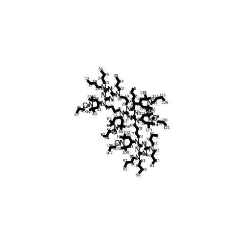 CCCCC(c1nc(N(CCCCN(c2nc(N(CCCC)CCCC)nc(N(CCCC)CCCC)n2)C2CC(C)(C)N(OCCC)C(C)(C)C2)C2CC(C)(C)N(OCCC)C(C)(C)C2)nc(N(CCCCN(c2nc(N(CCCC)CCCC)nc(N(CCCC)CCCC)n2)C2CC(C)(C)N(OCCC)C(C)(C)C2)C2CC(C)(C)N(OCCC)C(C)(C)C2)n1)C1CC(C)(C)N(CCCC)C(C)(C)C1